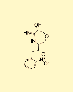 N=C1NC(CCc2ccccc2[N+](=O)[O-])COCC1O